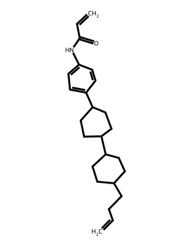 C=CCCC1CCC(C2CCC(c3ccc(NC(=O)C=C)cc3)CC2)CC1